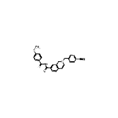 CSc1ccc(C(=O)NC(=O)c2ccc3c(c2)CN(Cc2ccc(C#N)cc2)C=C3)cc1